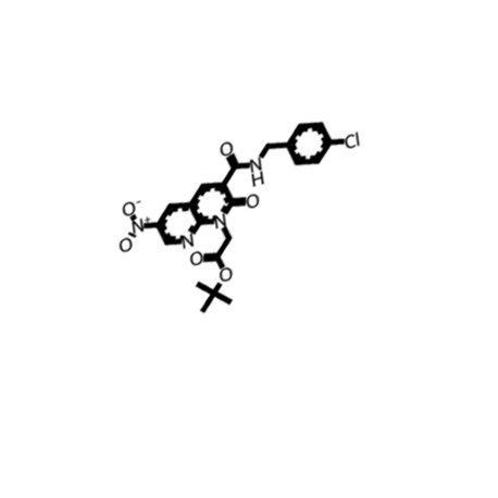 CC(C)(C)OC(=O)Cn1c(=O)c(C(=O)NCc2ccc(Cl)cc2)cc2cc([N+](=O)[O-])cnc21